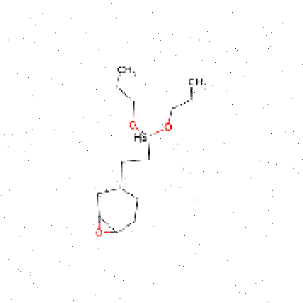 CCCO[SiH](CCC1CCC2OC2C1)OCCC